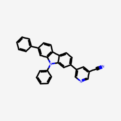 N#Cc1cncc(-c2ccc3c4ccc(-c5ccccc5)cc4n(-c4ccccc4)c3c2)c1